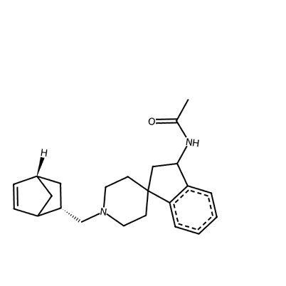 CC(=O)NC1CC2(CCN(C[C@H]3C[C@H]4C=CC3C4)CC2)c2ccccc21